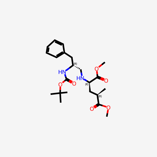 COC(=O)[C@H](C)C[C@@H](NC[C@@H](Cc1ccccc1)NC(=O)OC(C)(C)C)C(=O)OC